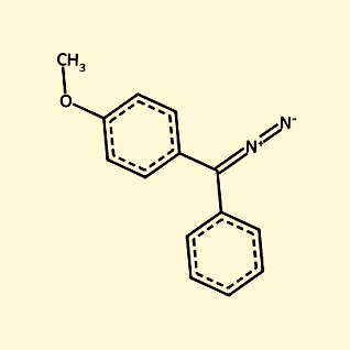 COc1ccc(C(=[N+]=[N-])c2ccccc2)cc1